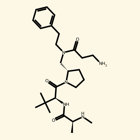 CN[C@@H](C)C(=O)N[C@H](C(=O)N1CCC[C@H]1CN(CCc1ccccc1)C(=O)CCN)C(C)(C)C